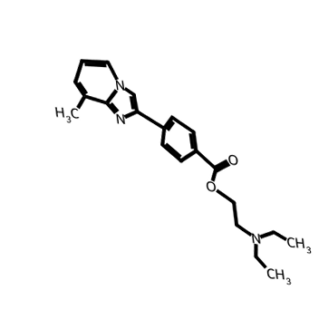 CCN(CC)CCOC(=O)c1ccc(-c2cn3cccc(C)c3n2)cc1